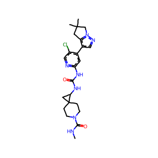 CNC(=O)N1CCC2(CC1)CC2NC(=O)Nc1cc(-c2cnn3c2CC(C)(C)C3)c(Cl)cn1